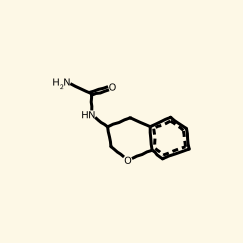 NC(=O)NC1COc2ccccc2C1